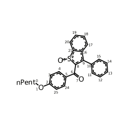 CCCCCOc1ccc(C(=O)c2c(-c3ccccc3)c3ccccc3[s+]2[O-])cc1